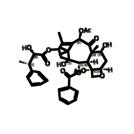 CC(=O)O[C@H]1C(=O)[C@@]2(C)[C@H]([C@H](OC(=O)c3ccccc3)[C@]3(O)CC(OC(=O)[C@H](O)[C@@H](C)c4ccccc4)C(C)=C1C3(C)C)[C@]1(OC(C)=O)CO[C@@H]1C[C@@H]2O